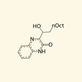 CCCCCCCCCC(O)c1nc2ccccc2[nH]c1=O